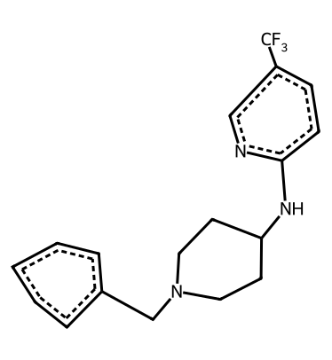 FC(F)(F)c1ccc(NC2CCN(Cc3ccccc3)CC2)nc1